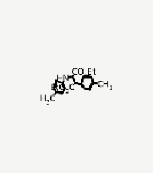 CCOC(=O)C(Nc1ccc(C)cc1)C(C(=O)OCC)c1ccc(C)cc1